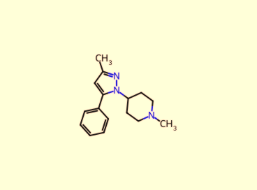 Cc1cc(-c2ccccc2)n(C2CCN(C)CC2)n1